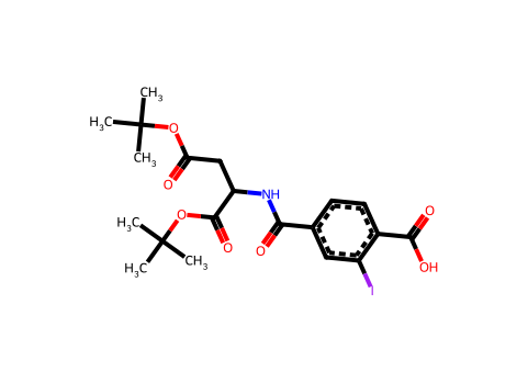 CC(C)(C)OC(=O)CC(NC(=O)c1ccc(C(=O)O)c(I)c1)C(=O)OC(C)(C)C